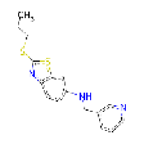 CCCSc1nc2ccc(NCc3cccnc3)cc2s1